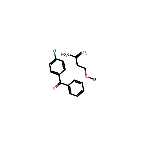 C=C(CCOCC)C(=O)O.O=C(c1ccccc1)c1ccc(Cl)cc1